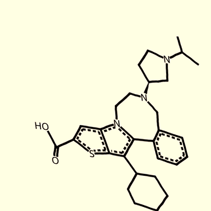 CC(C)N1CC[C@H](N2CCn3c(c(C4CCCCC4)c4sc(C(=O)O)cc43)-c3ccccc3C2)C1